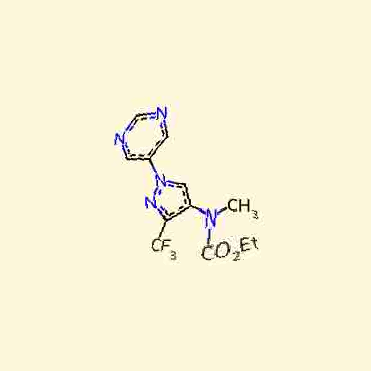 CCOC(=O)N(C)c1cn(-c2cncnc2)nc1C(F)(F)F